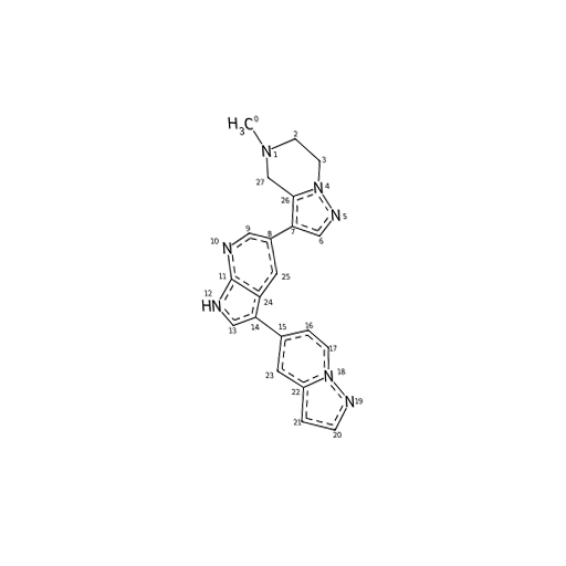 CN1CCn2ncc(-c3cnc4[nH]cc(-c5ccn6nccc6c5)c4c3)c2C1